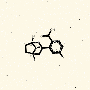 CN1[C@@H]2CC[C@H]1CC(c1cc(F)ccc1C(=O)O)C2